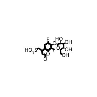 O=c1cc(CS(=O)(=O)O)c2cc(F)c(O[C@@H]3OC(CO)[C@@H](O)C(O)[C@@H]3O)c(F)c2o1